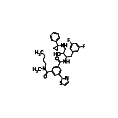 CCCCN(C)C(=O)c1cc(C(=O)NC(Cc2cc(F)cc(F)c2)C(O)CNC2(c3ccccc3)CC2)cc(-c2nccs2)c1